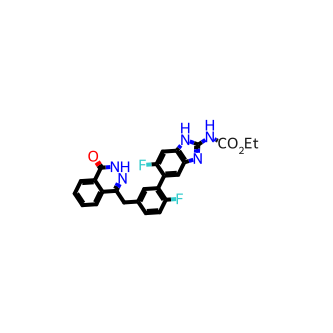 CCOC(=O)Nc1nc2cc(-c3cc(Cc4n[nH]c(=O)c5ccccc45)ccc3F)c(F)cc2[nH]1